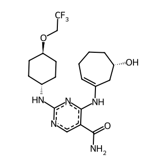 NC(=O)c1cnc(N[C@H]2CC[C@H](OCC(F)(F)F)CC2)nc1NC1=CCCC[C@H](O)C1